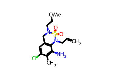 C=CCN1c2c(cc(Cl)c(C)c2N)CN(CCOC)S1(=O)=O